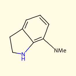 CNc1cccc2c1NCC2